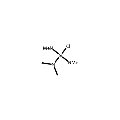 CN[Si](Cl)(NC)N(C)C